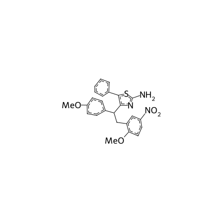 COc1ccc(C(Cc2cc([N+](=O)[O-])ccc2OC)c2nc(N)sc2-c2ccccc2)cc1